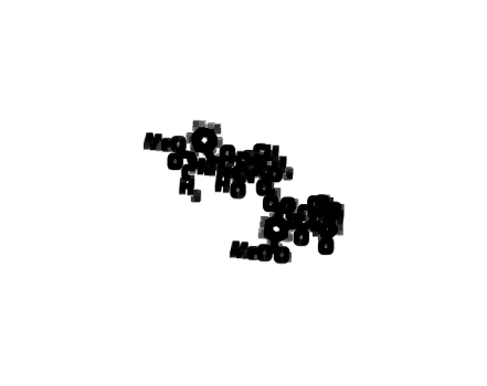 COC(=O)C=C(C)NC(C(=O)N[C@@H]1C(=O)N2[C@@H]1SC(C)(C)[C@@H]2C(=O)OCOC(=O)c1ccc(C(=O)OC)cc1OC(=O)[C@@H]1N2C(=O)C[C@H]2S(=O)(=O)C1(C)C)c1ccccc1